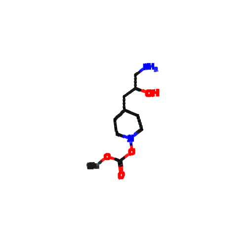 CC(C)(C)OC(=O)ON1CCC(CC(O)CN)CC1